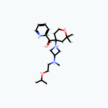 CC(C)OCCN(C)C1CN(C2(C(=O)c3ccccn3)CCOC(C)(C)C2)C1